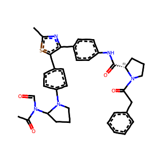 CC(=O)N(C=O)C1CCCN1c1ccc(-c2sc(C)nc2-c2ccc(NC(=O)[C@@H]3CCCN3C(=O)Cc3ccccc3)cc2)cc1